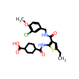 CCc1cc(C(=O)NCc2ccc(OC)c(Cl)c2)c(NC(=O)C2CCC(C(=O)O)CC2)s1